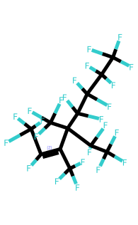 F/C(=C(\C(F)(F)F)C(C(F)(F)F)(C(F)(F)C(F)(F)F)C(F)(F)C(F)(F)C(F)(F)C(F)(F)F)C(F)(F)F